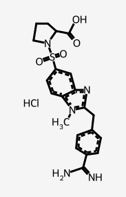 Cl.Cn1c(Cc2ccc(C(=N)N)cc2)nc2cc(S(=O)(=O)N3CCCC3C(=O)O)ccc21